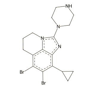 Brc1c(Br)c2c3c(nc(N4CCNCC4)n3CCC2)c1C1CC1